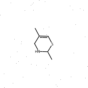 CC1=CSC(C)NC1